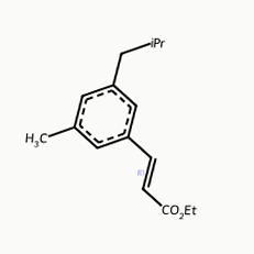 CCOC(=O)/C=C/c1cc(C)cc(CC(C)C)c1